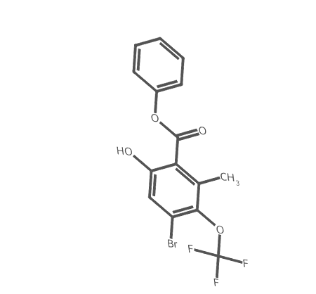 Cc1c(OC(F)(F)F)c(Br)cc(O)c1C(=O)Oc1ccccc1